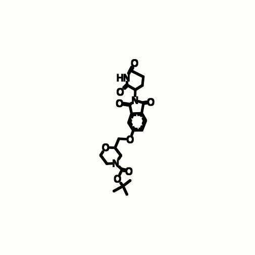 CC(C)(C)OC(=O)N1CCOC(COc2ccc3c(c2)C(=O)N(C2CCC(=O)NC2=O)C3=O)C1